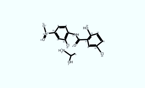 CC(N)O.O=C(Nc1ccc([N+](=O)[O-])cc1Cl)c1cc(Cl)ccc1O